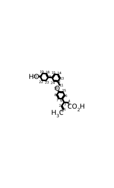 CC=CC(CC(=O)O)c1ccc(OCc2cccc(C3=CCC(O)CC3)c2)cc1